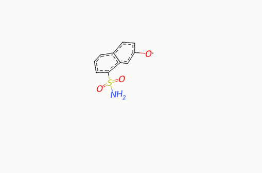 NS(=O)(=O)c1cccc2ccc([O])cc12